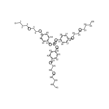 CCCCOCCOc1ccc(OB(Oc2ccc(OCCOCCCC)cc2)Oc2ccc(OCCOCCCC)cc2)cc1